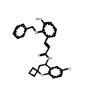 COc1cccc(/C=C/C(=O)NC2CC3(CCC3)Oc3ccc(Cl)cc32)c1OCc1ccccc1